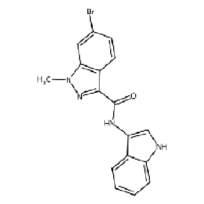 Cn1nc(C(=O)Nc2c[nH]c3ccccc23)c2ccc(Br)cc21